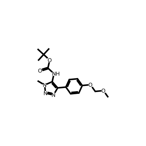 COCOc1ccc(-c2nnn(C)c2NC(=O)OC(C)(C)C)cc1